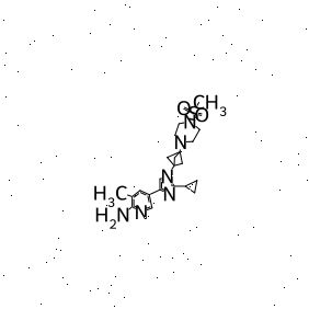 Cc1cc(-c2cn(C34CC(N5CCN(S(C)(=O)=O)CC5)(C3)C4)c(C3CC3)n2)cnc1N